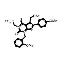 CCOC(=O)Cn1c(=O)c2c(COC(C)=O)c(-c3ccc(OC)cc3)sc2n(Cc2ccccc2OC)c1=O